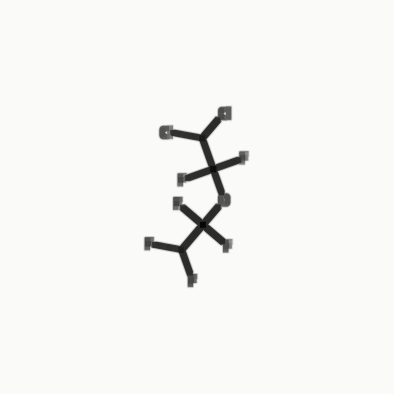 FC(F)C(F)(F)OC(F)(F)C(Cl)Cl